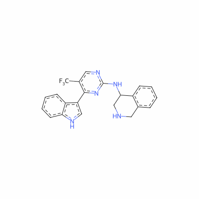 FC(F)(F)c1cnc(NC2CNCc3ccccc32)nc1-c1c[nH]c2ccccc12